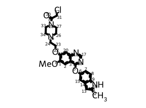 COc1cc2c(Oc3ccc4[nH]c(C)cc4c3)ncnc2cc1OCCN1CCN(C(=O)CCl)CC1